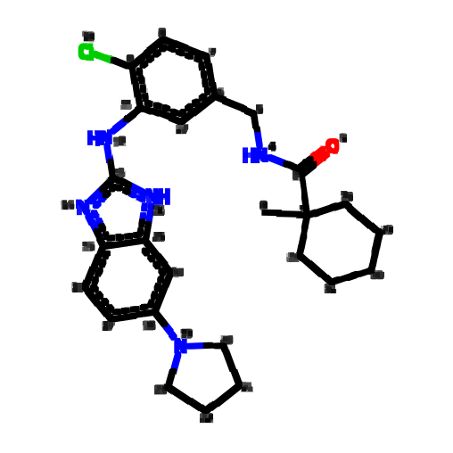 CC1(C(=O)NCc2ccc(Cl)c(Nc3nc4ccc(N5CCCC5)cc4[nH]3)c2)CCCCC1